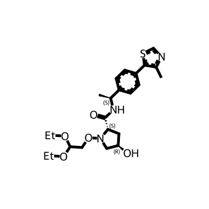 CCOC(CON1C[C@H](O)C[C@H]1C(=O)N[C@@H](C)c1ccc(-c2scnc2C)cc1)OCC